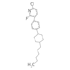 CCCCCCC1CCC(c2ccc(-c3ccc(Cl)nc3F)cc2)CC1